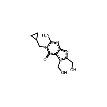 Nc1nc2nc(CO)n(CO)c2c(=O)n1CC1CC1